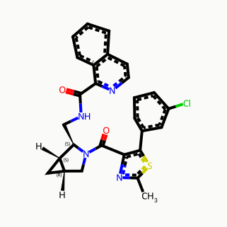 Cc1nc(C(=O)N2C[C@@H]3C[C@@H]3[C@H]2CNC(=O)c2nccc3ccccc23)c(-c2cccc(Cl)c2)s1